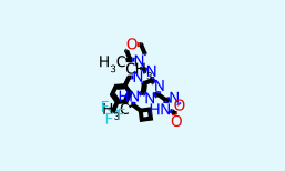 C[C@@H](Nc1nc(-c2noc(=O)[nH]2)nc2nc(N3CCOCC3(C)C)n(Cc3ccc(C(F)(F)F)cc3)c12)C1CCC1